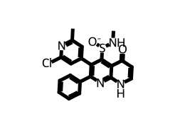 CN[S+]([O-])c1c(-c2cc(C)nc(Cl)c2)c(-c2ccccc2)nc2[nH]ccc(=O)c12